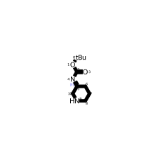 CC(C)(C)OC(=O)/N=C1\CCCNC1